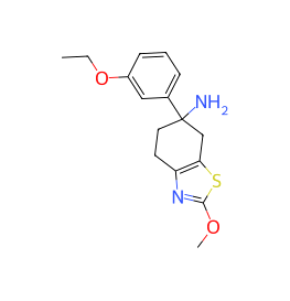 CCOc1cccc(C2(N)CCc3nc(OC)sc3C2)c1